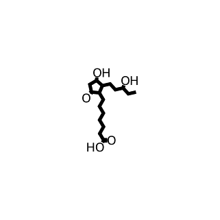 CCC(O)CCC1C(O)CC(=O)C1CCCCCCC(=O)O